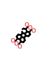 C=c1c2ccc3c4c(ccc(c5ccc6c(c15)/C(=C\C)C(=O)OC6=O)c42)C(=O)OC3=O